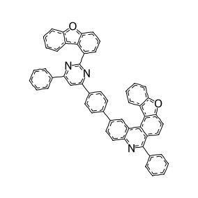 c1ccc(-c2cc(-c3ccc(-c4ccc5nc(-c6ccccc6)c6ccc7oc8ccccc8c7c6c5c4)cc3)nc(-c3cccc4oc5ccccc5c34)n2)cc1